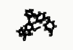 COc1cc(-c2ccnn2-c2ccc(OC3CCN(C)CC3)cc2)cc2c1NC(=O)C21CCC1